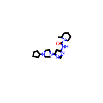 CC1CCCCN1C(=O)Nc1cc(N2CCN(C3CCCC3)CC2)ncn1